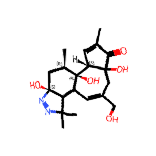 CC1=C[C@@H]2C(O)(CC(CO)=CC3C4C(C)(C)N=N[C@]4(O)C[C@@H](C)[C@@]32O)C1=O